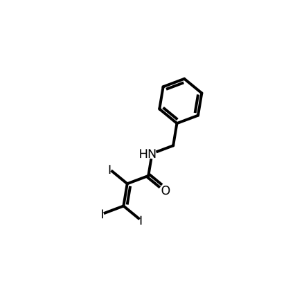 O=C(NCc1ccccc1)C(I)=C(I)I